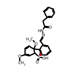 COC1=CC(S(=O)(=O)O)C(OC)(c2ccccc2/C=N/NC(=O)Cc2ccccc2)C=C1